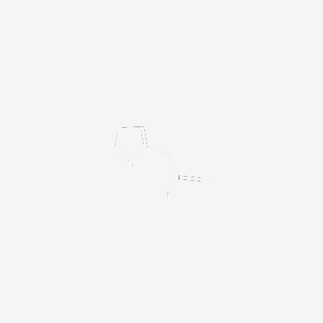 O=C(Cl)Cc1cscn1